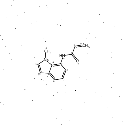 C=CC(=O)Nc1cccc2ccn(C)c12